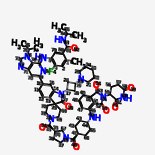 Cc1cc(F)c(Nc2nc(-c3ccc4c(c3)N([C@H]3C[C@@H](N5CCCCC5)C3)C(=O)C43CCN(C(=O)[C@@H]4CCN(C(=O)[C@H]5CC[C@H](Nc6cccc7c6C(=O)N(C6CCC(=O)NC6=O)C7=O)CC5)C4)CC3)cc3ncn(C(C)C)c23)cc1C(=O)NC(C)C